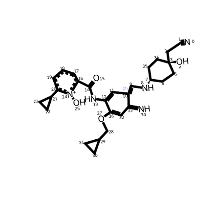 N#CC[C@]1(O)CC[C@H](N/C=C2/C=C(NC(=O)c3cccc(C4CC4)[n+]3O)C(OCC3CC3)=CC2=N)CC1